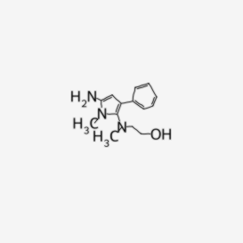 CN(CCO)c1c(-c2ccccc2)cc(N)n1C